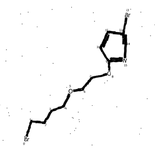 BrCCCCOCCOc1ccc(Br)cn1